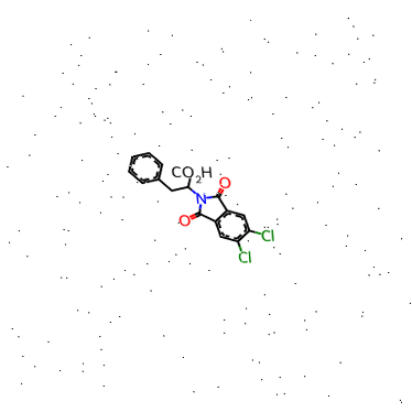 O=C(O)C(Cc1ccccc1)N1C(=O)c2cc(Cl)c(Cl)cc2C1=O